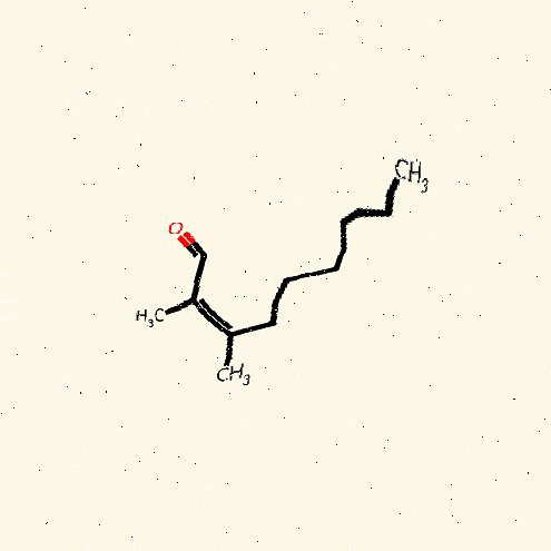 CCCCCCC(C)=C(C)C=O